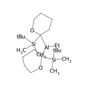 C[CH2][Al]([C]1([Si](C)(C)C(C)(C)C)CCCCO1)[C]1([Si](C)(C)C(C)(C)C)CCCCO1